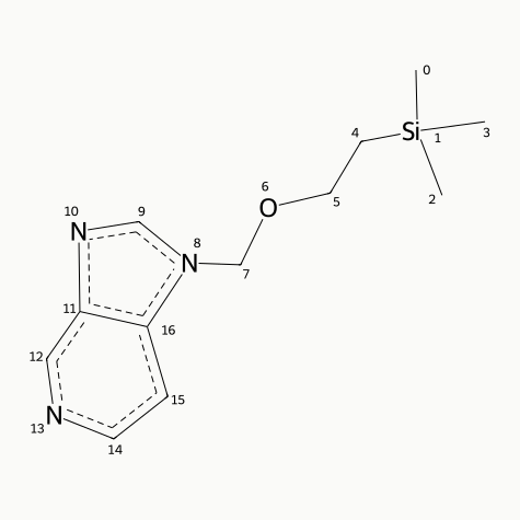 C[Si](C)(C)CCOCn1cnc2cnccc21